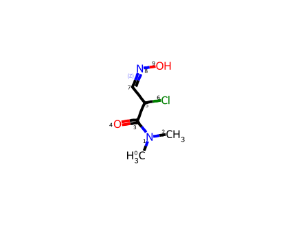 CN(C)C(=O)C(Cl)/C=N\O